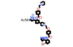 CC(=O)Nc1cc(-c2ccc(C3CCN(CCOc4ccc(C(=O)Nc5cccc(Br)c5-c5ccn[nH]5)cc4)CC3)cc2NC(=O)c2ccc(OCCN3CCCCC3)cc2)[nH]n1